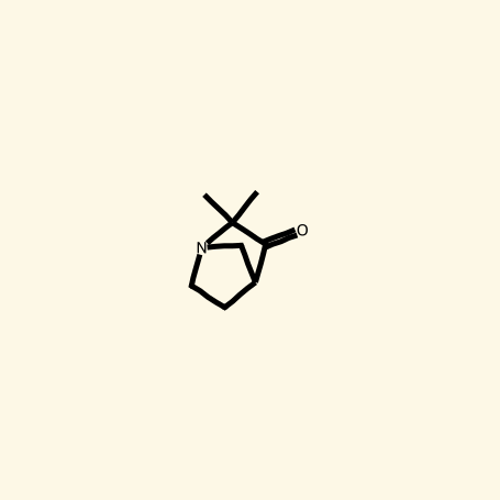 CC1(C)C(=O)C2CCN1C2